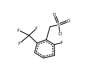 O=S(=O)(Cl)Cc1c(F)cccc1C(F)(F)F